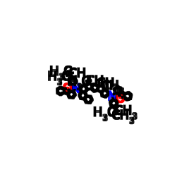 CC(C)(C)c1ccc(N(c2ccc3c(c2)C(C)(C)c2cc4c(cc2-3)-c2c(cc(N(c3ccc(C(C)(C)C)cc3)c3cccc5c3oc3ccccc35)c3ccc5ccccc5c23)C4(C)C)c2cccc3c2oc2ccccc23)cc1